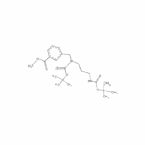 COC(=O)c1cccc(CN(CCCNC(=O)OC(C)(C)C)C(=O)OC(C)(C)C)c1